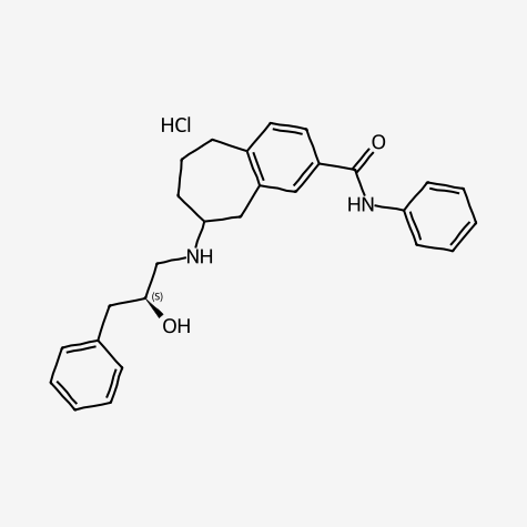 Cl.O=C(Nc1ccccc1)c1ccc2c(c1)CC(NC[C@@H](O)Cc1ccccc1)CCC2